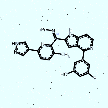 CCC/N=C(/c1cc2c(-c3cc(O)cc(F)c3)nccc2[nH]1)c1nc(-c2cn[nH]c2)ccc1C